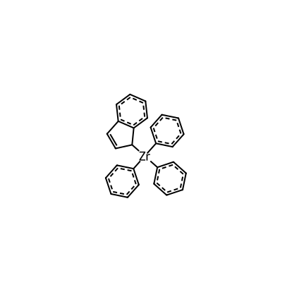 C1=C[CH]([Zr]([c]2ccccc2)([c]2ccccc2)[c]2ccccc2)c2ccccc21